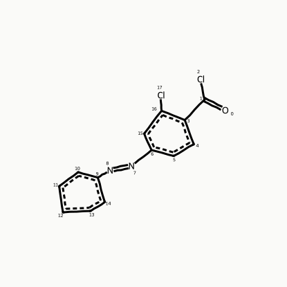 O=C(Cl)c1ccc(N=Nc2ccccc2)cc1Cl